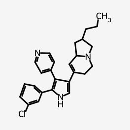 CCCC1CC2C=C(c3c[nH]c(-c4cccc(Cl)c4)c3-c3ccncc3)CCN2C1